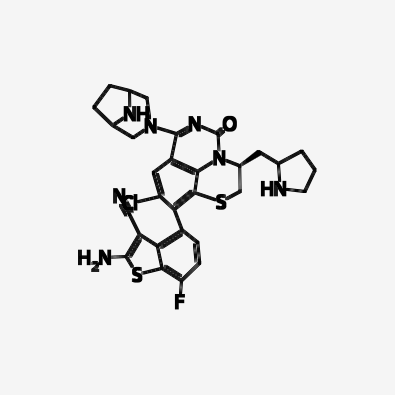 N#Cc1c(N)sc2c(F)ccc(-c3c(Cl)cc4c(N5CC6CCC(C5)N6)nc(=O)n5c4c3SC[C@@H]5CC3CCCN3)c12